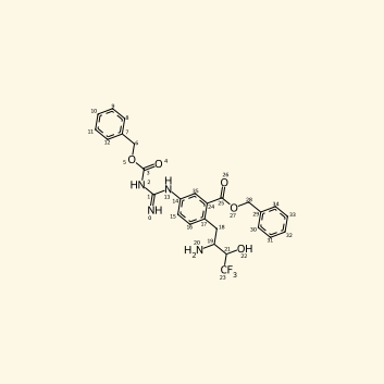 N=C(NC(=O)OCc1ccccc1)Nc1ccc(CC(N)C(O)C(F)(F)F)c(C(=O)OCc2ccccc2)c1